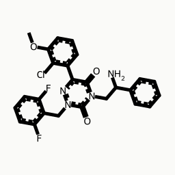 COc1cccc(-c2nn(Cc3c(F)cccc3F)c(=O)n(CC(N)c3ccccc3)c2=O)c1Cl